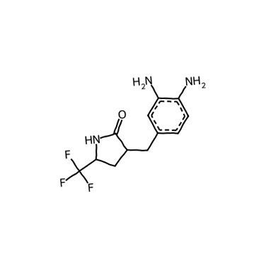 Nc1ccc(CC2CC(C(F)(F)F)NC2=O)cc1N